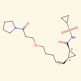 O=C(NS(=O)(=O)C1CC1)[C@H]1C[C@H]1/C=C\CCCOCCC(=O)N1CCCC1